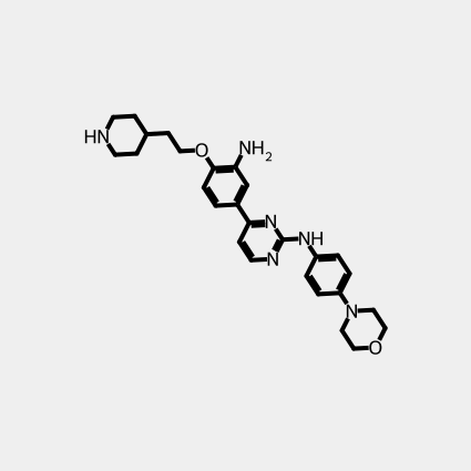 Nc1cc(-c2ccnc(Nc3ccc(N4CCOCC4)cc3)n2)ccc1OCCC1CCNCC1